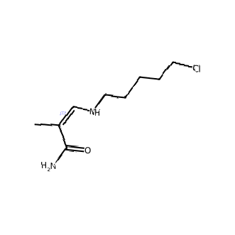 C/C(=C/NCCCCCCl)C(N)=O